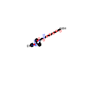 CCc1ccc(CN/C2=C(\N=N)c3ccccc3CN(C(=O)CCC(=O)NCCOCCOCCOCCOCCC(=O)OC)c3ccccc32)cc1